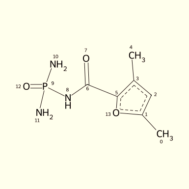 Cc1cc(C)c(C(=O)NP(N)(N)=O)o1